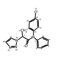 CC(C(=O)N(c1ccccc1)c1ccc(Cl)cc1)n1ccnn1